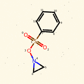 O=S(=O)(ON1CC1)c1ccccc1